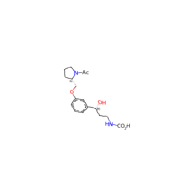 CC(=O)N1CCC[C@H]1COc1cccc([C@H](O)CCNC(=O)O)c1